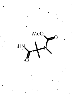 COC(=O)N(C)C(C)(C)C([NH])=O